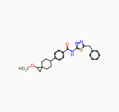 O=C(O)OC1CC12CCC(c1ccc(C(=O)Nc3nnc(Cc4ccccc4)s3)cc1)CC2